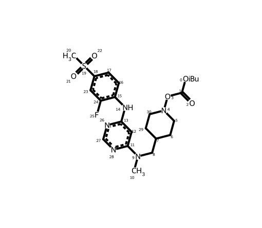 CC(C)COC(=O)ON1CCC(CN(C)c2cc(Nc3ccc(S(C)(=O)=O)cc3F)ncn2)CC1